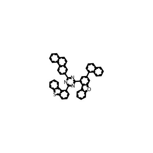 c1ccc2c(-c3cc(-c4nc(-c5ccc6c(ccc7ccccc76)c5)nc(-c5cccc6sc7ccccc7c56)n4)c4c(c3)oc3ccccc34)cccc2c1